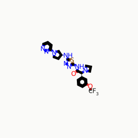 O=C(Nc1nnc(N[C@@H]2CCN(c3cccnn3)C2)s1)[C@@H](c1cccc(OC(F)(F)F)c1)N1CCC1